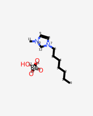 CCCCCCCN1C=CN(C)C1.[O]=[Re](=[O])(=[O])[OH]